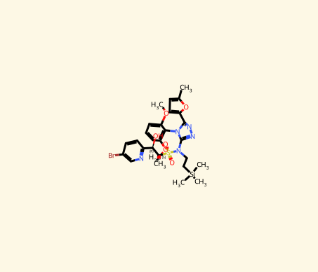 COc1cccc(OC)c1-n1c(-c2ccc(C)o2)nnc1N(CC[Si](C)(C)C)S(=O)(=O)[C@@H](C)[C@H](O)c1ccc(Br)cn1